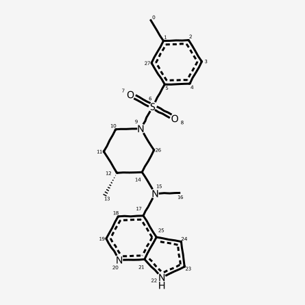 Cc1cccc(S(=O)(=O)N2CC[C@@H](C)C(N(C)c3ccnc4[nH]ccc34)C2)c1